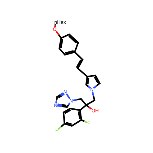 CCCCCCOc1ccc(/C=C/c2ccn(CC(O)(Cn3cncn3)c3ccc(F)cc3F)c2)cc1